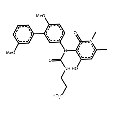 COc1cccc(-c2cc(N(C(=O)NCCC(=O)O)c3c(O)cc(C)n(C)c3=O)ccc2OC)c1